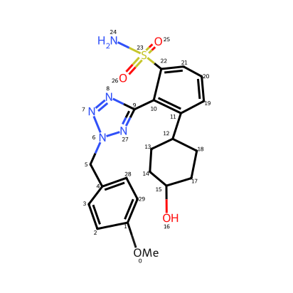 COc1ccc(Cn2nnc(-c3c(C4CCC(O)CC4)cccc3S(N)(=O)=O)n2)cc1